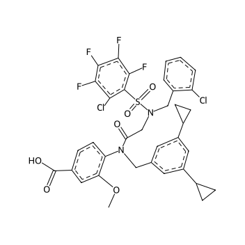 COc1cc(C(=O)O)ccc1N(Cc1cc(C2CC2)cc(C2CC2)c1)C(=O)CN(Cc1ccccc1Cl)S(=O)(=O)c1c(F)c(F)c(F)c(F)c1Cl